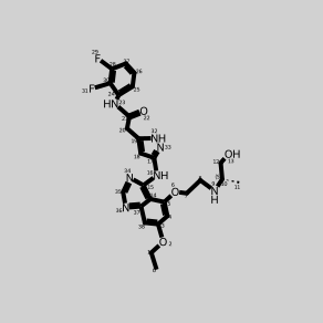 CCOc1cc(OCCN[C@@H](C)CO)c2c(Nc3cc(CC(=O)Nc4cccc(F)c4F)[nH]n3)ncnc2c1